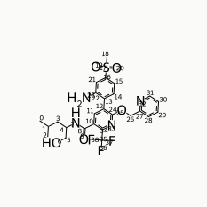 CC(C)CC(CO)NC(=O)c1cc(-c2ccc(S(C)(=O)=O)cc2N)c(OCc2ccccn2)nc1C(F)(F)F